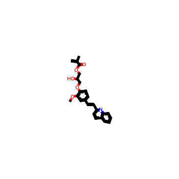 C=C(C)C(=O)OCC(O)COc1ccc(/C=C/c2ccc3ccccc3n2)cc1OC